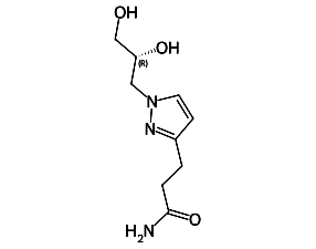 NC(=O)CCc1ccn(C[C@@H](O)CO)n1